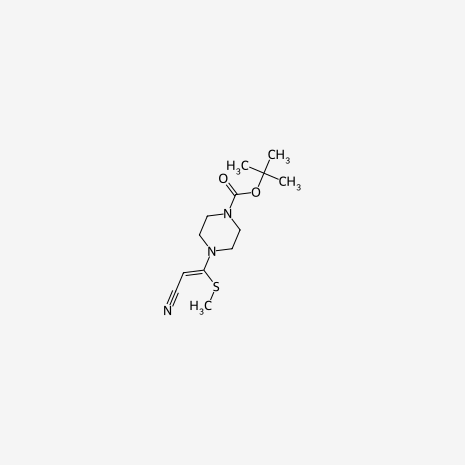 CSC(=CC#N)N1CCN(C(=O)OC(C)(C)C)CC1